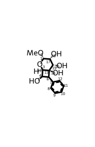 CO[C@H]1O[C@@H]2C(O)C(c3ccccc3)[C@@]2(O)[C@@H](O)[C@H]1O